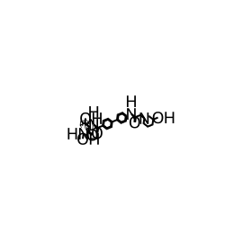 C[C@@H](O)[C@H](NC(=O)c1ccc(-c2ccc(NC(=O)CN3CCCC(O)C3)cc2)cc1)C(=O)NO